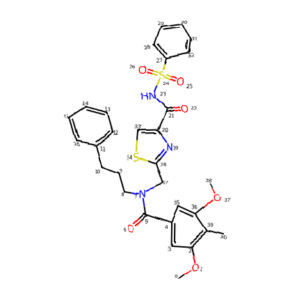 COc1cc(C(=O)N(CCCc2ccccc2)Cc2nc(C(=O)NS(=O)(=O)c3ccccc3)cs2)cc(OC)c1C